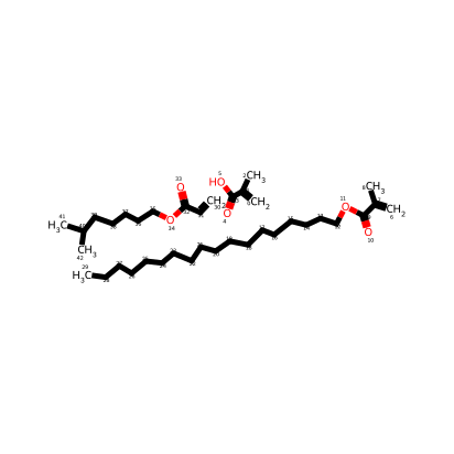 C=C(C)C(=O)O.C=C(C)C(=O)OCCCCCCCCCCCCCCCCCC.C=CC(=O)OCCCCCC(C)C